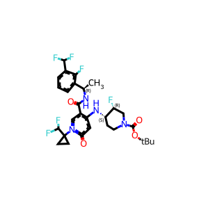 C[C@@H](NC(=O)c1cn(C2(C(F)F)CC2)c(=O)cc1N[C@H]1CCN(C(=O)OC(C)(C)C)C[C@H]1F)c1cccc(C(F)F)c1F